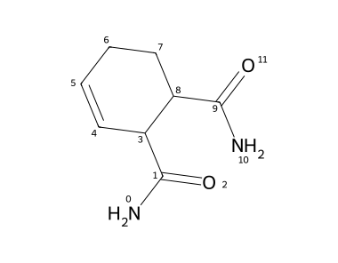 NC(=O)C1C=CCCC1C(N)=O